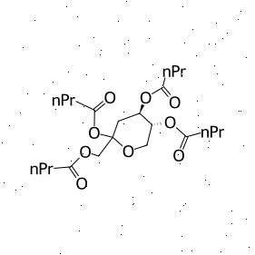 CCCC(=O)OCC1(OC(=O)CCC)C[C@@H](OC(=O)CCC)[C@H](OC(=O)CCC)CO1